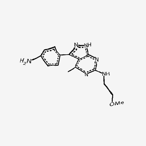 COCCNc1nc(C)c2c(-c3ccc(N)cc3)n[nH]c2n1